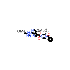 COCc1ncn(-c2ncc(OC)c3c(C(=O)C(=O)N4CCN(C(=O)c5ccccc5)[C@H](C)C4)c[nH]c23)n1